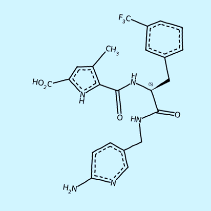 Cc1cc(C(=O)O)[nH]c1C(=O)N[C@@H](Cc1cccc(C(F)(F)F)c1)C(=O)NCc1ccc(N)nc1